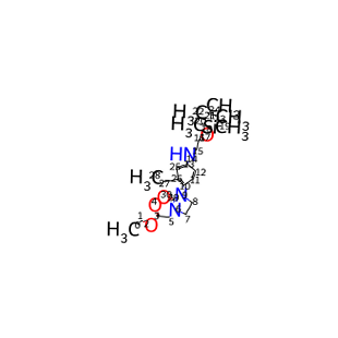 CCOC(=O)CN1CCN(c2ccc(NCCO[Si](C)(C)C(C)(C)C)cc2CC)C1=O